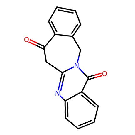 O=C1Cc2nc3ccccc3c(=O)n2Cc2ccccc21